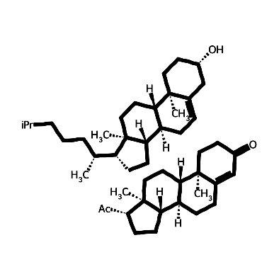 CC(=O)[C@H]1CC[C@H]2[C@@H]3CCC4=CC(=O)CC[C@]4(C)[C@H]3CC[C@]12C.CC(C)CCC[C@@H](C)[C@H]1CC[C@H]2[C@@H]3CC=C4C[C@@H](O)CC[C@]4(C)[C@H]3CC[C@]12C